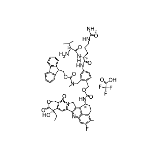 CC[C@@]1(O)C(=O)OCc2c1cc1n(c2=O)Cc2c-1nc1cc(F)c(C)c3c1c2[C@@H](NC(=O)OCc1ccc(NC(=O)[C@H](CCCNC(N)=O)NC(=O)[C@@H](N)C(C)C)cc1CN(C)C(=O)OCC1c2ccccc2-c2ccccc21)CC3.O=C(O)C(F)(F)F